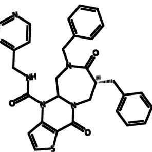 O=C1[C@H](Cc2ccccc2)CN2C(=O)c3sccc3N(C(=O)NCc3ccncc3)C2CN1Cc1ccccc1